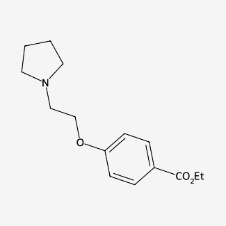 CCOC(=O)c1ccc(OCCN2CCCC2)cc1